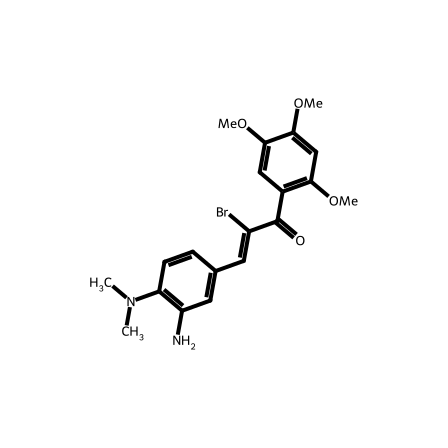 COc1cc(OC)c(C(=O)C(Br)=Cc2ccc(N(C)C)c(N)c2)cc1OC